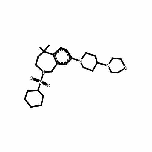 CC1(C)CCN(S(=O)(=O)C2CCCCC2)Cc2cc(N3CCC(N4CCOCC4)CC3)ccc21